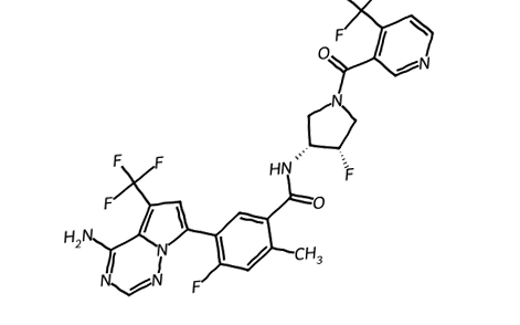 Cc1cc(F)c(-c2cc(C(F)(F)F)c3c(N)ncnn23)cc1C(=O)N[C@@H]1CN(C(=O)c2cnccc2C(F)(F)F)C[C@@H]1F